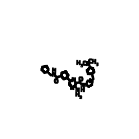 CN(C)c1ccc(CN2CC[C@H](NC(=O)c3nc(-c4cccc(C(=O)NCc5ccccc5)c4)cnc3N)C2)cc1